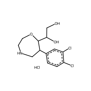 Cl.OCC(O)C1OCCNCC1c1ccc(Cl)c(Cl)c1